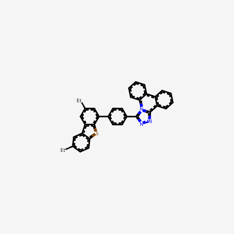 CCc1ccc2sc3c(-c4ccc(-c5nnc6c7ccccc7c7ccccc7n56)cc4)cc(CC)cc3c2c1